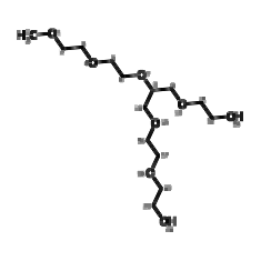 COCCOCCOC(COCCO)COCCOCCO